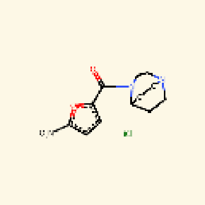 Cl.O=C(c1ccc([N+](=O)[O-])o1)N1CCN2CCC1CC2